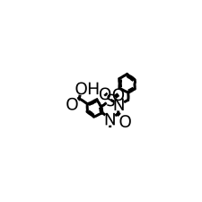 CN1C(=O)N(Cc2ccccc2)S(=O)(=O)c2cc(C(=O)O)ccc21